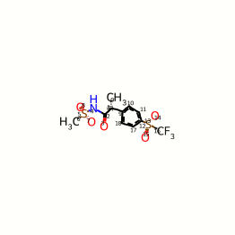 C[C@@H](C(=O)NS(C)(=O)=O)c1ccc(S(=O)(=O)C(F)(F)F)cc1